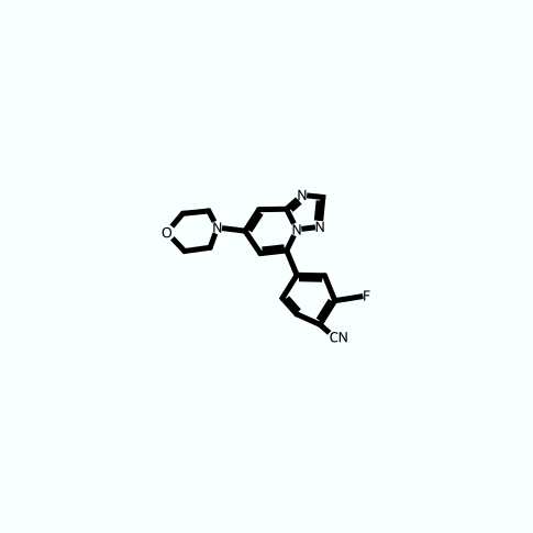 N#Cc1ccc(-c2cc(N3CCOCC3)cc3ncnn23)cc1F